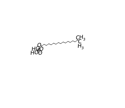 CC(C)CCCCCCCCCCCCCCC(=O)OP(=O)(O)O